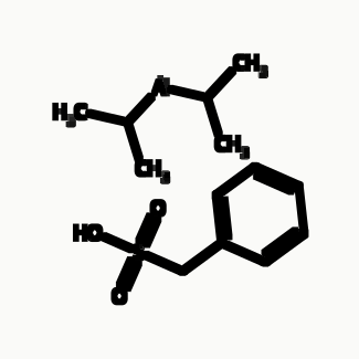 C[CH](C)[Al][CH](C)C.O=S(=O)(O)Cc1ccccc1